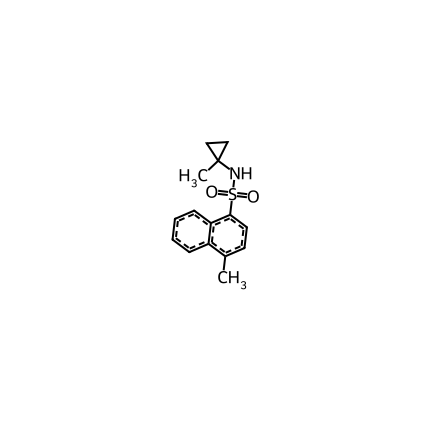 Cc1ccc(S(=O)(=O)NC2(C)CC2)c2ccccc12